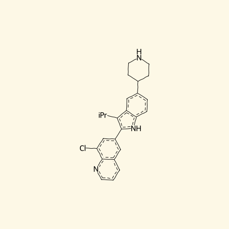 CC(C)c1c(-c2cc(Cl)c3ncccc3c2)[nH]c2ccc(C3CCNCC3)cc12